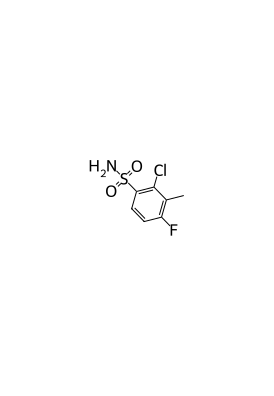 Cc1c(F)ccc(S(N)(=O)=O)c1Cl